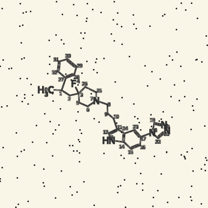 CC(CC1(F)CCN(CCCc2c[nH]c3ccc(-n4cnnc4)cc23)CC1)c1ccccc1